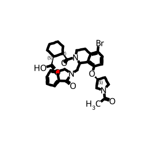 CC(=O)N1CC[C@H](Oc2ccc(Br)c3c2C(CN2Cc4ccccc4C2=O)N(C(=O)[C@@H]2CCCC[C@@H]2C(=O)O)CC3)C1